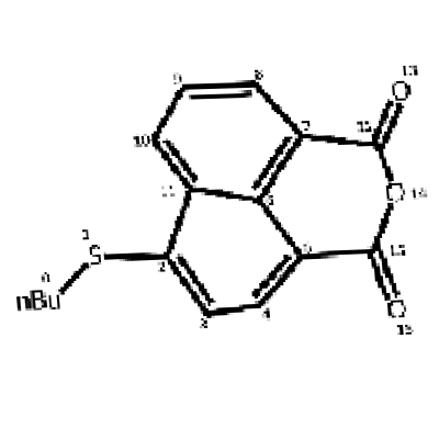 CCCCSc1ccc2c3c(cccc13)C(=O)OC2=O